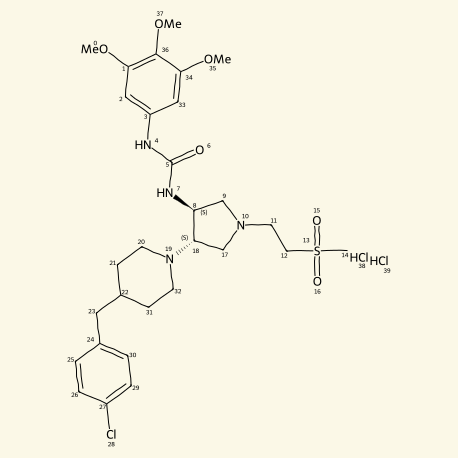 COc1cc(NC(=O)N[C@H]2CN(CCS(C)(=O)=O)C[C@@H]2N2CCC(Cc3ccc(Cl)cc3)CC2)cc(OC)c1OC.Cl.Cl